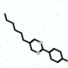 CCCCCCC1COC(C2CCC(Cl)CC2)OC1